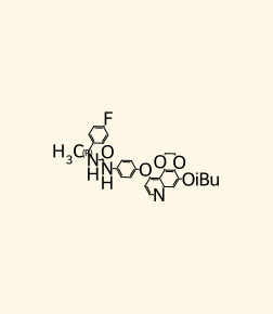 CC(C)COc1cc2nccc(Oc3ccc(NC(=O)N[C@H](C)c4ccc(F)cc4)cc3)c2c2c1OCCO2